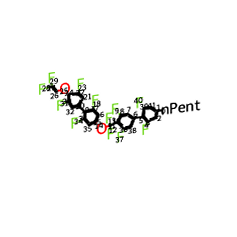 CCCCCc1cc(F)c(-c2cc(F)c(C(F)(F)Oc3cc(F)c(-c4cc(F)c(OC=C(F)F)c(F)c4)c(F)c3)c(F)c2)c(F)c1